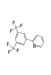 FC(F)(F)c1cc(-c2bcccc2)cc(C(F)(F)F)c1